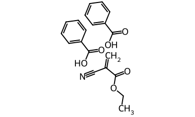 C=C(C#N)C(=O)OCC.O=C(O)c1ccccc1.O=C(O)c1ccccc1